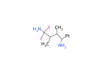 CC([CH](N)[Pt])C(C)C(N)(I)I